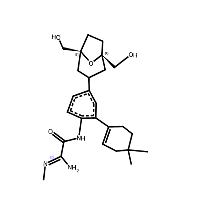 C/N=C(\N)C(=O)Nc1ccc(C2C[C@]3(CO)CC[C@](CO)(C2)O3)cc1C1=CCC(C)(C)CC1